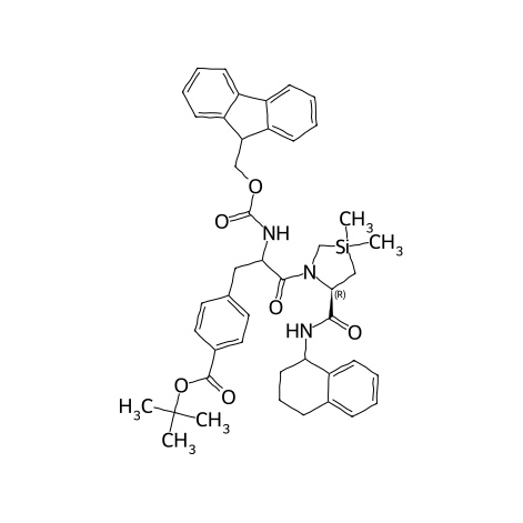 CC(C)(C)OC(=O)c1ccc(CC(NC(=O)OCC2c3ccccc3-c3ccccc32)C(=O)N2C[Si](C)(C)C[C@H]2C(=O)NC2CCCc3ccccc32)cc1